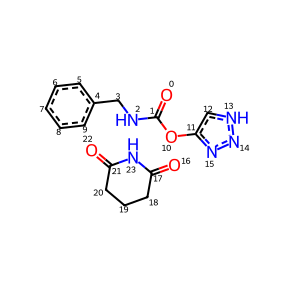 O=C(NCc1ccccc1)Oc1c[nH]nn1.O=C1CCCC(=O)N1